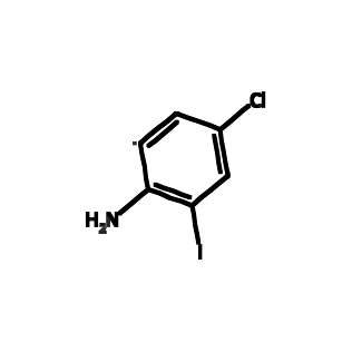 Nc1[c]cc(Cl)cc1I